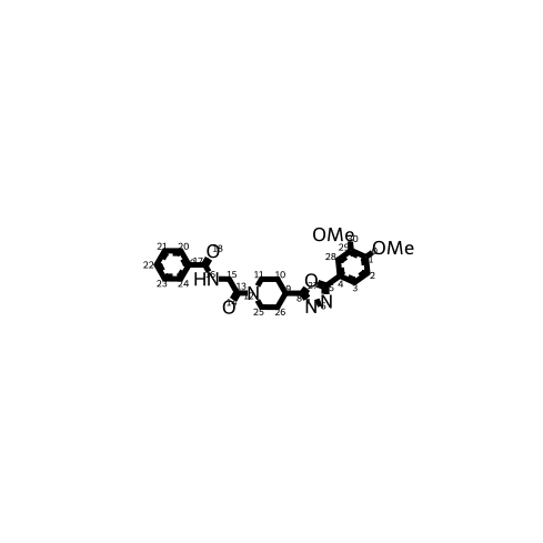 COc1ccc(-c2nnc(C3CCN(C(=O)CNC(=O)c4ccccc4)CC3)o2)cc1OC